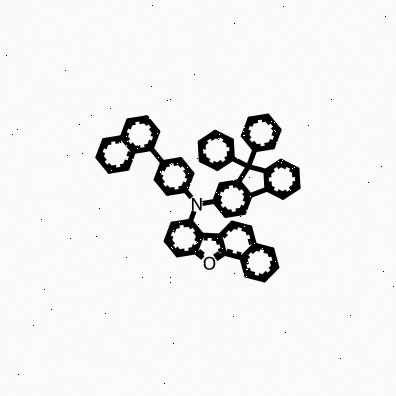 c1ccc(C2(c3ccccc3)c3ccccc3-c3ccc(N(c4ccc(-c5cccc6ccccc56)cc4)c4cccc5oc6c7ccccc7ccc6c45)cc32)cc1